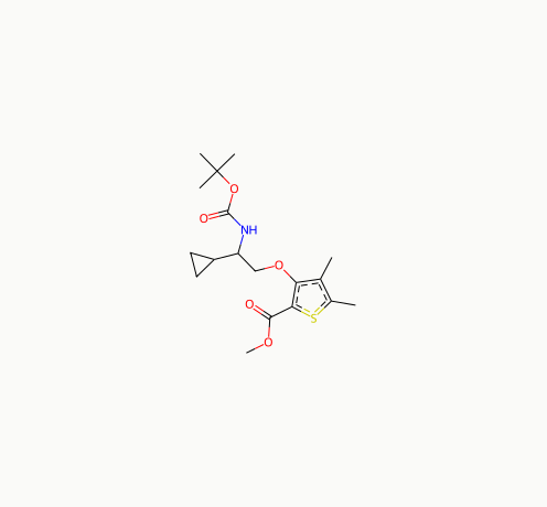 COC(=O)c1sc(C)c(C)c1OCC(NC(=O)OC(C)(C)C)C1CC1